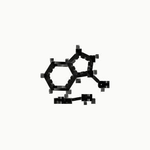 CCCCCCN.On1nnc2ccccc21